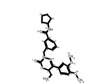 CCC1SC(=O)N(Cc2cccc(C(=O)NC3CCCC3)c2)N=C1c1ccc(OC)c(OC)c1